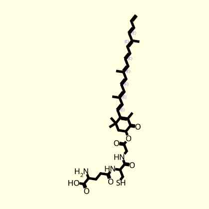 C=C/C=C/C(C)=C/C=C/C=C(C)/C=C/C=C(C)/C=C/C1=C(C)C(=O)C(OC(=O)CNC(=O)C(CS)NC(=O)CCC(N)C(=O)O)CC1(C)C